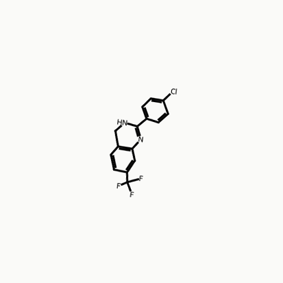 FC(F)(F)c1ccc2c(c1)N=C(c1ccc(Cl)cc1)NC2